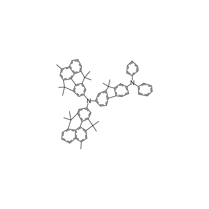 Cc1cc2c3c4c(cccc14)C(C)(C)c1cc(N(c4ccc5c(c4)C(C)(C)c4cc(N(c6ccccc6)c6ccccc6)ccc4-5)c4cc5c6c(c4)C(C)(C)c4cccc7c(C)cc(c-6c47)C5(C)C)cc(c1-3)C2(C)C